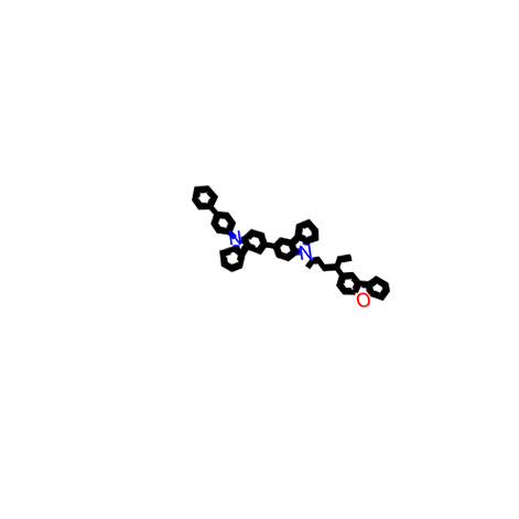 C=C/C(=C\C=C(/C)n1c2ccccc2c2cc(-c3ccc4c(c3)c3ccccc3n4-c3ccc(-c4ccccc4)cc3)ccc21)c1ccc2oc3ccccc3c2c1